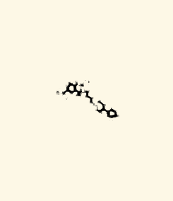 COC(=O)c1ccc2[nH]c(=O)n(CCCCN3CC=C(c4ccccc4)CC3)c(=O)c2c1